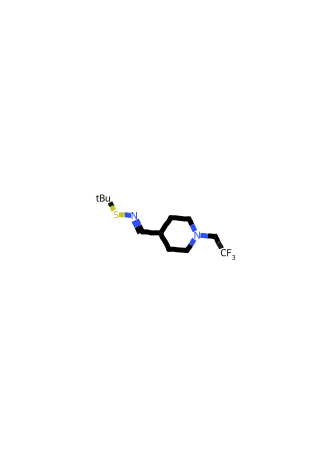 CC(C)(C)SN=CC1CCN(CC(F)(F)F)CC1